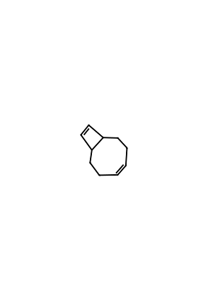 C1=CCCC2C=CC2CC1